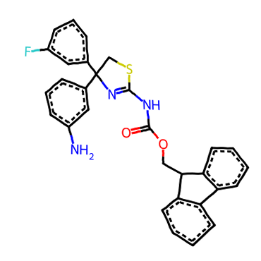 Nc1cccc(C2(c3cccc(F)c3)CSC(NC(=O)OCC3c4ccccc4-c4ccccc43)=N2)c1